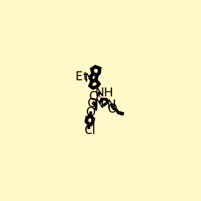 C=CCON=C1C[C@@H](C(=O)Nc2ccc3c(c2)c2ccccc2n3CC)N(C(=O)COc2ccc(Cl)cc2)C1